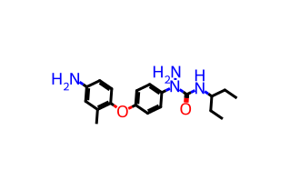 CCC(CC)NC(=O)N(N)c1ccc(Oc2ccc(N)cc2C)cc1